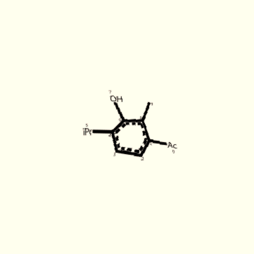 CC(=O)c1ccc(C(C)C)c(O)c1C